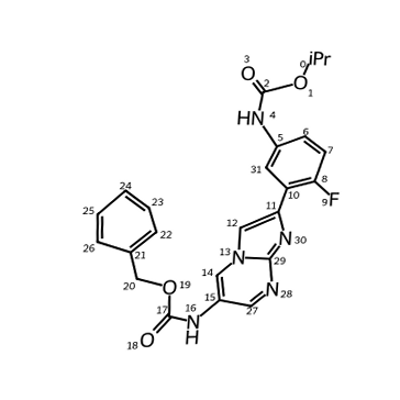 CC(C)OC(=O)Nc1ccc(F)c(-c2cn3cc(NC(=O)OCc4ccccc4)cnc3n2)c1